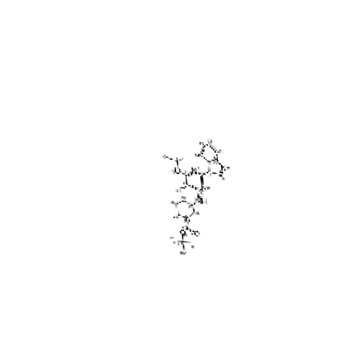 CC(C)Oc1nc(-c2cnn3ccccc23)nc(N[C@@H]2CCCN(C(=O)OC(C)(C)C)C2)c1F